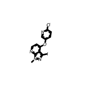 Cn1nc(I)c2c(Oc3ccc(Cl)nc3)ccnc21